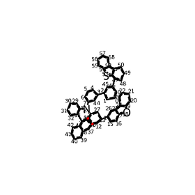 c1cc(-c2cccc(N(c3cccc(-c4ccc5oc6ccccc6c5c4)c3)c3ccccc3-c3cccc4ccccc34)c2)cc(-c2cccc3c2sc2ccccc23)c1